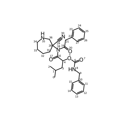 CC(C)CC(OC(=O)NCc1ccccc1)C(=O)N(C(=O)Cc1ccccc1)C1(C#N)CCCCNC1